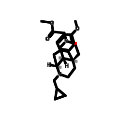 COC(=O)CN1CC[C@]23CCN(CC4CC4)[C@H](Cc4ccc(OC)cc42)[C@@H]3C1